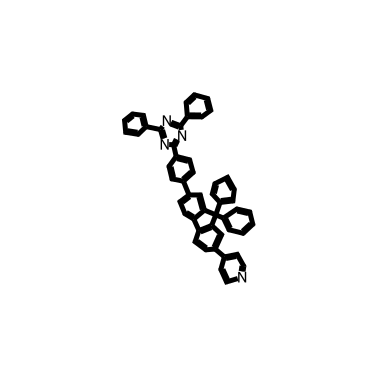 c1ccc(-c2nc(-c3ccccc3)nc(-c3ccc(-c4ccc5c(c4)C(c4ccccc4)(c4ccccc4)c4cc(-c6ccncc6)ccc4-5)cc3)n2)cc1